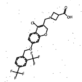 O=C(O)C1CN(CC2=C(Cl)c3ccc(OCc4ccc(C(F)(F)F)cc4C(F)(F)F)cc3OC2)C1